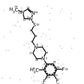 Cc1c(N2CCN(CCCSN3CN(C)C=N3)CC2)cc(F)c(F)c1F